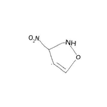 O=[N+]([O-])C1[C]=CON1